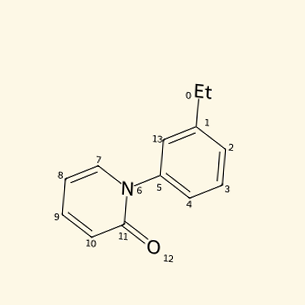 CCc1cccc(-n2ccccc2=O)c1